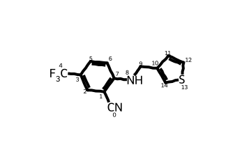 N#Cc1cc(C(F)(F)F)ccc1NCc1ccsc1